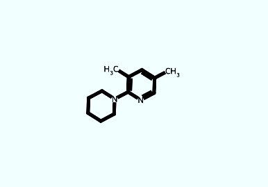 Cc1cnc(N2CCCCC2)c(C)c1